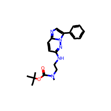 CN(CCNc1ccc2ncc(-c3ccccc3)n2n1)C(=O)OC(C)(C)C